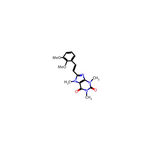 COc1cccc(C=Cc2nc3c(c(=O)n(C)c(=O)n3C)n2C)c1OC